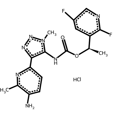 Cc1nc(-c2nnn(C)c2NC(=O)O[C@H](C)c2cc(F)cnc2F)ccc1N.Cl